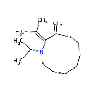 C=C1CCCCCCCN(C(C)C)C1=C(C)C